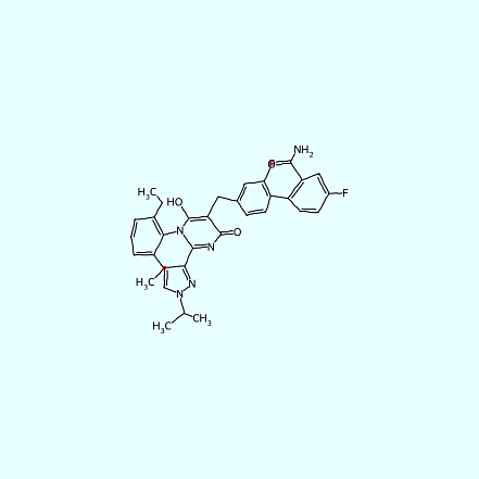 CCc1cccc(CC)c1-n1c(-c2ccn(C(C)C)n2)nc(=O)c(Cc2ccc(-c3ccc(F)cc3C(N)=O)c(F)c2)c1O